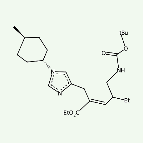 CCOC(=O)/C(=C/C(CC)CNC(=O)OC(C)(C)C)Cc1cn([C@H]2CC[C@H](C)CC2)cn1